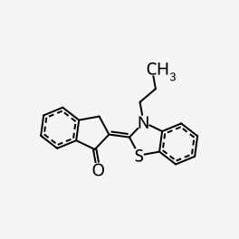 CCCN1/C(=C2\Cc3ccccc3C2=O)Sc2ccccc21